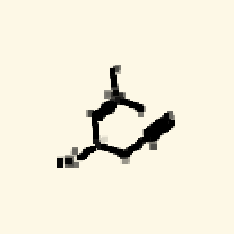 C#CCN(C=[N+](C)C)CCCC